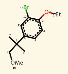 CCOc1ccc(C(C)(C)COC)cc1Br